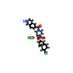 Cl.O=C(c1ccc2c(c1)CCNC2)N1CCN(S(=O)(=O)c2ccc3cc(Cl)ccc3c2)CC1